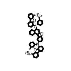 Cc1cccc(N(c2ccc3oc4cc(N(c5cccc(C)c5)c5cccc6c5oc5c(C(C)(C)C)cccc56)c5ccccc5c4c3c2)c2cccc3c2oc2c(C(C)(C)C)cccc23)c1